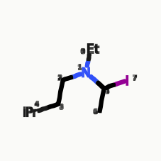 CCN(CCC(C)C)C(C)I